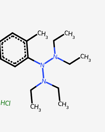 CCN(CC)N(c1ccccc1C)N(CC)CC.Cl